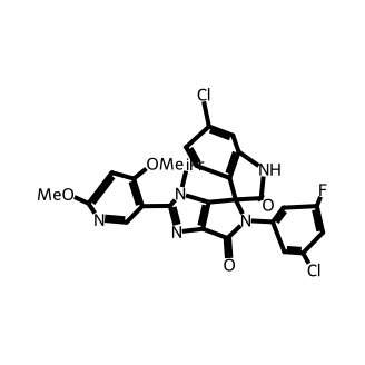 COc1cc(OC)c(-c2nc3c(n2C(C)C)C2(C(=O)Nc4cc(Cl)ccc42)N(c2cc(F)cc(Cl)c2)C3=O)cn1